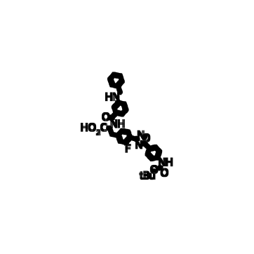 CC(C)(C)OC(=O)Nc1ccc(-c2nc(-c3ccc(CC(NC(=O)c4cccc(NCc5ccccc5)c4)C(=O)O)cc3F)no2)cc1